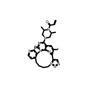 C=CC(=O)N1C(C)CN(c2nc(=O)n3c4nc(c(F)cc24)-c2cnnn2CCCCc2ccnc(C(C)C)c2-3)CC1C